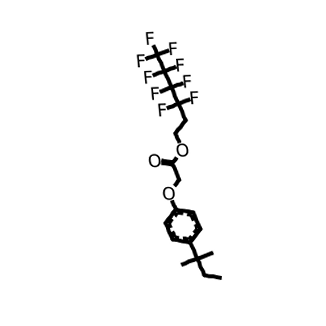 CCC(C)(C)c1ccc(OCC(=O)OCCC(F)(F)C(F)(F)C(F)(F)C(F)(F)F)cc1